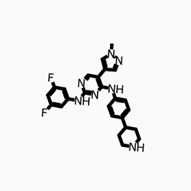 Cn1cc(-c2cnc(Nc3cc(F)cc(F)c3)nc2Nc2ccc(C3CCNCC3)cc2)cn1